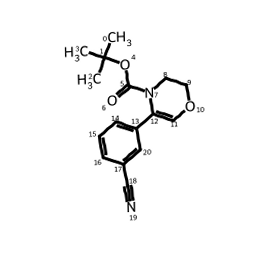 CC(C)(C)OC(=O)N1CCOC=C1c1cccc(C#N)c1